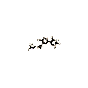 C/C(F)=C\C[C@H]1C[C@@H]1c1cc(-c2c[nH]c(=O)[nH]c2=O)nnc1Cl